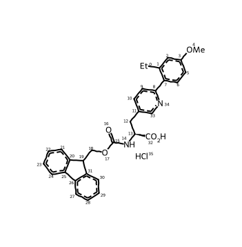 CCc1cc(OC)ccc1-c1ccc(C[C@H](NC(=O)OCC2c3ccccc3-c3ccccc32)C(=O)O)cn1.Cl